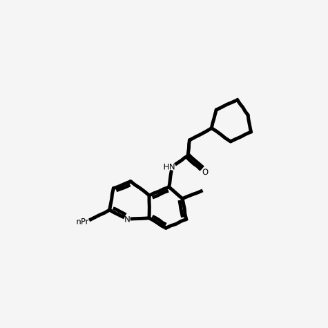 [CH2]CCc1ccc2c(NC(=O)CC3CCCCC3)c(C)ccc2n1